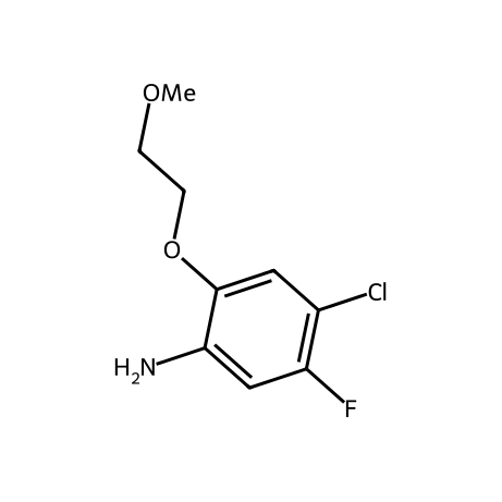 COCCOc1cc(Cl)c(F)cc1N